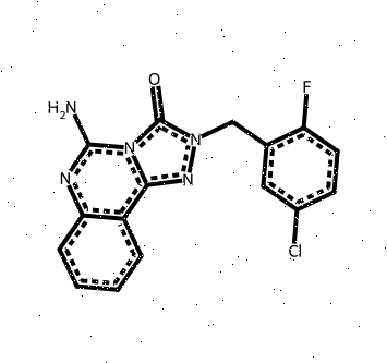 Nc1nc2ccccc2c2nn(Cc3cc(Cl)ccc3F)c(=O)n12